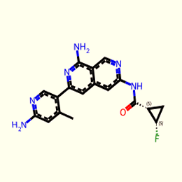 Cc1cc(N)ncc1-c1cc2cc(NC(=O)[C@@H]3C[C@@H]3F)ncc2c(N)n1